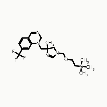 CC1(CN2CN=Cc3ccc(C(F)(F)F)cc32)CN(COCC[Si](C)(C)C)C=N1